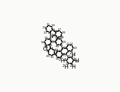 [2H]c1c([2H])c([2H])c(-c2c3ccccc3c(-c3cccc(-c4c(-n5c6ccccc6c6ccccc65)ccc5oc6ccccc6c45)c3)c3ccccc23)c([2H])c1[2H]